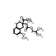 COc1cccc2c1CC(C(=O)O)(N(C)C(=O)OCC(C)C)CC2